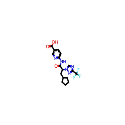 O=C(O)c1ccc(NC(=O)C(CC2CCCC2)n2cnc(C(F)(F)F)n2)nc1